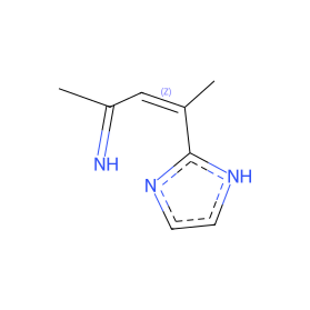 CC(=N)/C=C(/C)c1ncc[nH]1